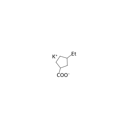 CCC1CCC(C(=O)[O-])C1.[K+]